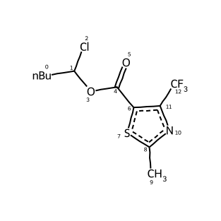 CCCCC(Cl)OC(=O)c1sc(C)nc1C(F)(F)F